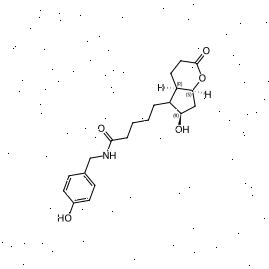 O=C(CCCCC1[C@H](O)C[C@@H]2OC(=O)CC[C@H]12)NCc1ccc(O)cc1